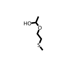 CSCCOC(C)O